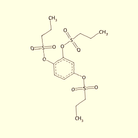 CCCS(=O)(=O)Oc1ccc(OS(=O)(=O)CCC)c(OS(=O)(=O)CCC)c1